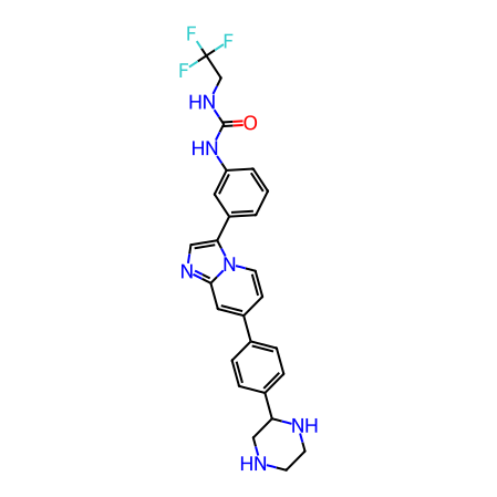 O=C(NCC(F)(F)F)Nc1cccc(-c2cnc3cc(-c4ccc(C5CNCCN5)cc4)ccn23)c1